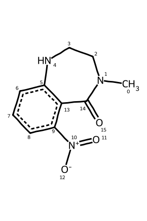 CN1CCNc2cccc([N+](=O)[O-])c2C1=O